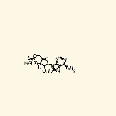 Cc1nc2c(N)ncnc2n1C1OC2CO[P@@](O)(=S)O[C@H]2[C@@H]1O